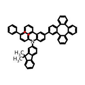 CC1(C)c2ccccc2-c2ccc(N(c3ccc(-c4ccccc4)cc3)c3ccc(-c4ccc5c(c4)-c4ccccc4-c4ccccc4-c4ccccc4-5)cc3-c3ccccc3)cc21